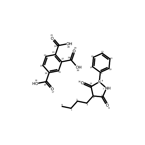 CCCCC1C(=O)NN(c2ccccc2)C1=O.O=C(O)c1ccc(C(=O)O)c(C(=O)O)c1